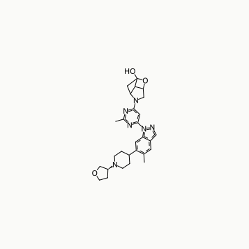 Cc1nc(N2CC3OC4(O)CC2C34)cc(-n2ncc3cc(C)c(C4CCN([C@H]5CCOC5)CC4)cc32)n1